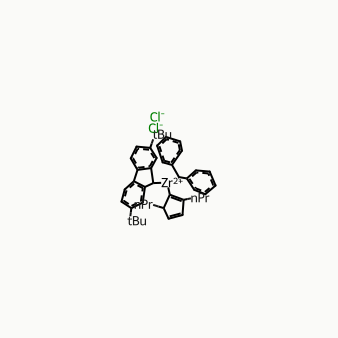 CCCC1=[C]([Zr+2](=[C](c2ccccc2)c2ccccc2)[CH]2c3cc(C(C)(C)C)ccc3-c3ccc(C(C)(C)C)cc32)C(CCC)C=C1.[Cl-].[Cl-]